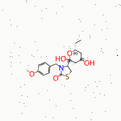 CC[C@@H]1C[C@@H](O)C[C@](O)(C2CSC(=O)N2Cc2ccc(OC)cc2)O1